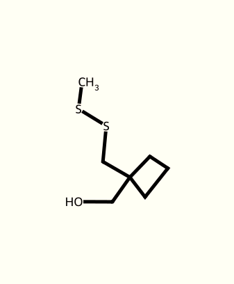 CSSCC1(CO)CCC1